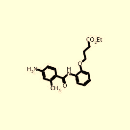 CCOC(=O)CCCOc1ccccc1NC(=O)c1ccc(N)cc1C